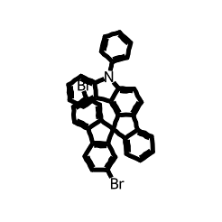 Brc1ccc2c(c1)C1(c3cc(Br)ccc3-2)c2ccccc2-c2ccc3c(c21)c1ccccc1n3-c1ccccc1